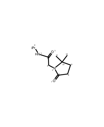 CC(C)NC(=O)CN1C(=O)CCC1(C)C